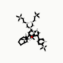 CC(C)(C)OC(=O)N1C2CCC1CC(c1cc(N(COCC[Si](C)(C)C)COCC[Si](C)(C)C)n3ncc(-c4cc[c]([Sn]([CH3])([CH3])[CH3])nc4)c3n1)C2